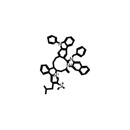 C=C1CC2C(CCc3cc4c(cc3-c3n(Cc5ccccc5)c5cc6ccccc6cc5[n+]31)c1ccccc1n4-c1ccccc1)c1ccccc1-c1cc(CC(C)C)c([Si](C)(C)C)c[n+]12